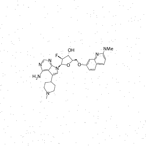 CNc1ccc2ccc(OC[C@H]3O[C@@H](n4cc(C5CCN(C)CC5)c5c(N)ncnc54)[C@@H](F)[C@@H]3O)cc2n1